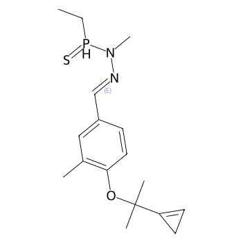 CC[PH](=S)N(C)/N=C/c1ccc(OC(C)(C)C2=CC2)c(C)c1